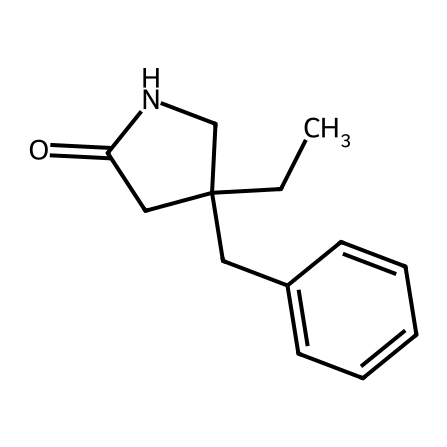 CCC1(Cc2ccccc2)CNC(=O)C1